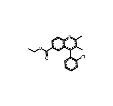 CCOC(=O)c1ccc2nc(C)c(C)c(-c3ccccc3Cl)c2c1